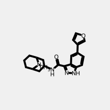 CN1C2CCCC1CC(NC(=O)c1n[nH]c3ccc(-c4ccoc4)cc13)C2